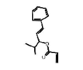 C=CC(=O)OC(C=Cc1ccccc1)C(C)C